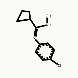 ONC(=Nc1ccc(Cl)cc1)C1CCC1